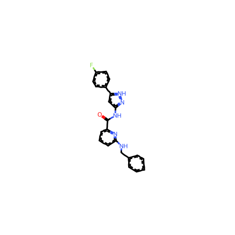 O=C(Nc1cc(-c2ccc(F)cc2)[nH]n1)c1cccc(NCc2ccccc2)n1